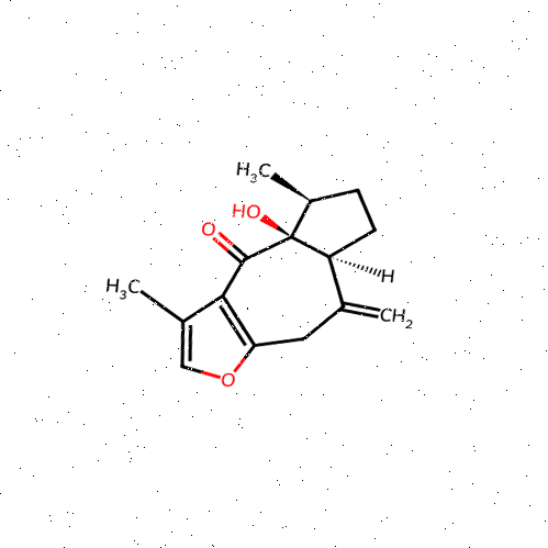 C=C1Cc2occ(C)c2C(=O)[C@]2(O)[C@@H](C)CC[C@@H]12